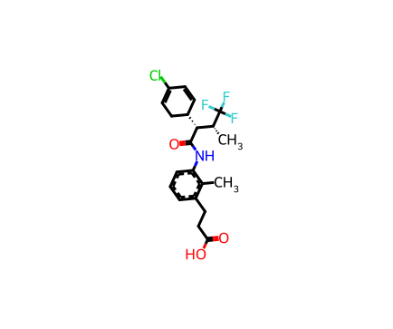 Cc1c(CCC(=O)O)cccc1NC(=O)[C@H](C1C=CC(Cl)=CC1)[C@@H](C)C(F)(F)F